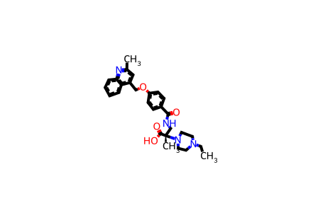 CCN1CCN([C@@](C)(CNC(=O)c2ccc(OCc3cc(C)nc4ccccc34)cc2)C(=O)O)CC1